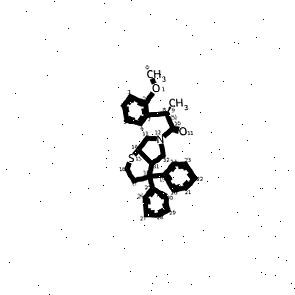 COc1ccccc1[C@H](C)C(=O)N1CC2SCCC(c3ccccc3)(c3ccccc3)C2C1